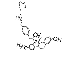 CCCCCNCCc1ccc(CC(C)Nc2cc(OC)ccc2C2CCc3cc(O)ccc3C2)cc1